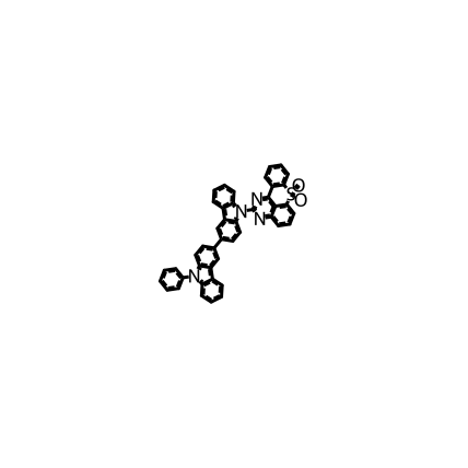 O=S1(=O)c2ccccc2-c2nc(-n3c4ccccc4c4cc(-c5ccc6c(c5)c5ccccc5n6-c5ccccc5)ccc43)nc3cccc1c23